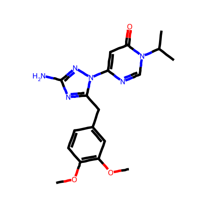 COc1ccc(Cc2nc(N)nn2-c2cc(=O)n(C(C)C)cn2)cc1OC